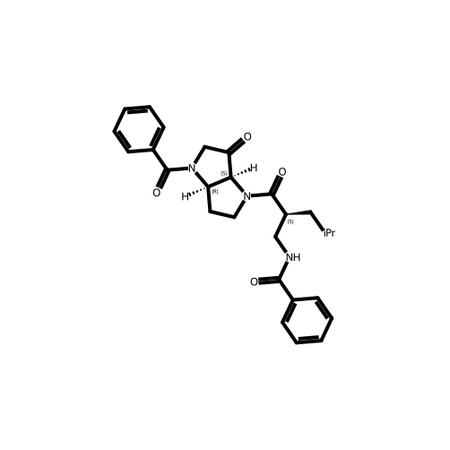 CC(C)C[C@@H](CNC(=O)c1ccccc1)C(=O)N1CC[C@@H]2[C@H]1C(=O)CN2C(=O)c1ccccc1